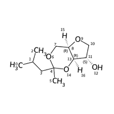 CC(C)CC1(C)OC[C@H]2OC[C@H](O)[C@H]2O1